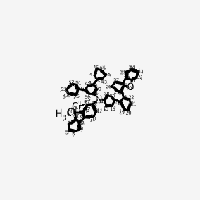 CC1(C)c2ccccc2-c2ccc(N(c3ccc(-c4ccccc4-c4cccc5c4oc4ccccc45)cc3)c3cc(-c4ccccc4)cc(-c4ccccc4)c3)cc21